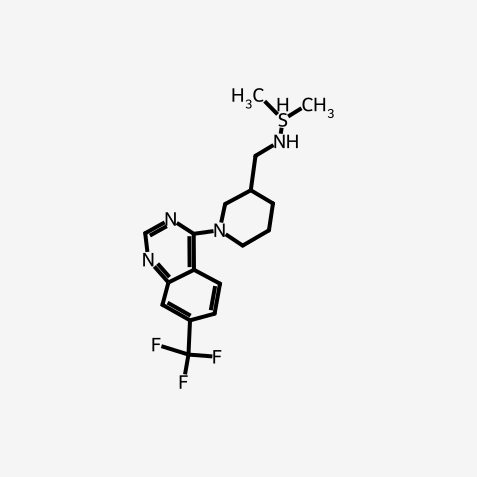 C[SH](C)NCC1CCCN(c2ncnc3cc(C(F)(F)F)ccc23)C1